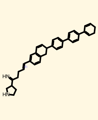 N=C(CC/C=C/c1ccc2c(c1)C=CC(c1ccc(-c3ccc(C4=CCCC=C4)cc3)cc1)C2)C1CCNC1